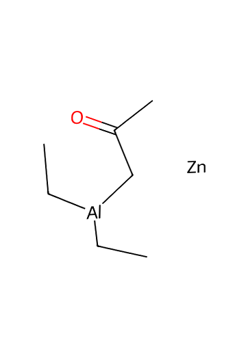 C[CH2][Al]([CH2]C)[CH2]C(C)=O.[Zn]